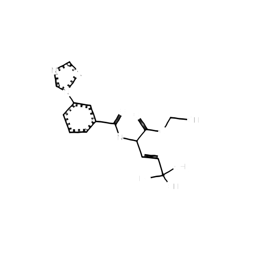 CCOC(=O)C(C=CC(C)(C)C)NC(=O)c1cccc(-n2cncn2)c1